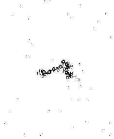 CCN(C)S(=O)(=O)Nc1ccc(F)c(C(=O)c2c[nH]c3ncc(-c4ccccc4CN4CCN(C(=O)CN5CCC(c6ccc(OC7CCC(=O)NC7=O)cc6)CC5)CC4)cc23)c1F